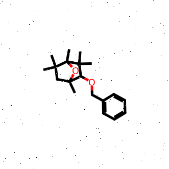 CC12CC(C)(C)C(C)(O1)C(C)(C)C2OCc1ccccc1